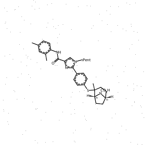 CCCCCn1cc(C(=O)Nc2ccc(C)cc2C)nc1-c1ccc(SC2(C)CC[C@@H]3CC[C@H]2N3C(=O)O)cc1